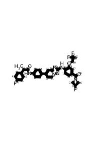 C[C@@H](C(=O)Nc1ccc(-c2ccn3nc(Nc4ccc(C(=O)N5CC(F)C5)cc4OCC(F)(F)F)nc3c2)cc1)c1ccc(F)cc1